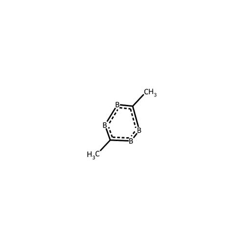 Cc1bbc(C)bb1